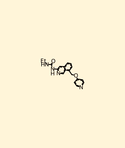 CCNC(=O)Nc1cc2cccc(COc3ccncc3)c2cn1